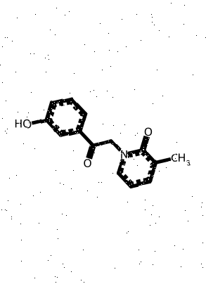 Cc1cccn(CC(=O)c2cccc(O)c2)c1=O